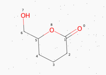 O=C1CCCC(CO)O1